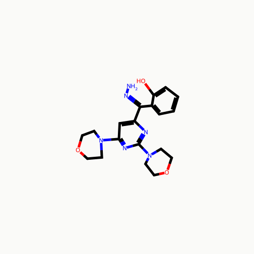 NN=C(c1cc(N2CCOCC2)nc(N2CCOCC2)n1)c1ccccc1O